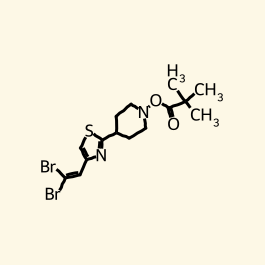 CC(C)(C)C(=O)ON1CCC(c2nc(C=C(Br)Br)cs2)CC1